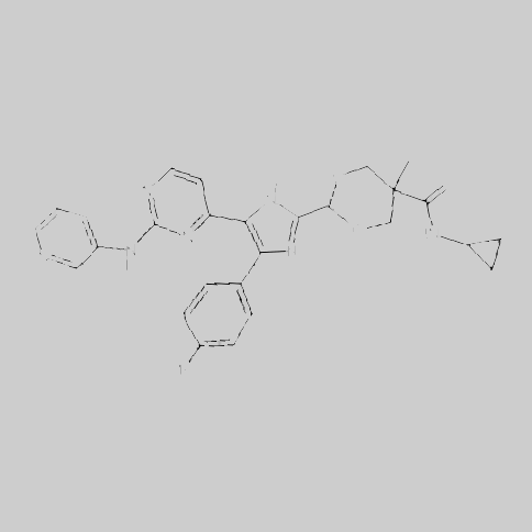 CC1(C(=O)NC2CC2)COC(c2nc(-c3ccc(F)cc3)c(-c3ccnc(Nc4cccnc4)n3)[nH]2)OC1